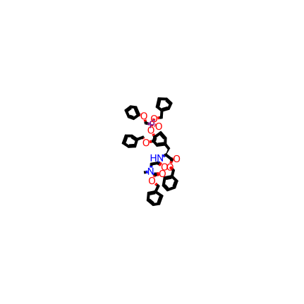 CN(CC(=O)N[C@@H](Cc1ccc(OP(=O)(COc2ccccc2)OCc2ccccc2)c(OCc2ccccc2)c1)C(=O)OCc1ccccc1)C(=O)OCc1ccccc1